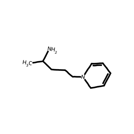 CC(N)CCCN1C=CC=CC1